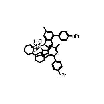 CCCc1ccc(-c2cc(C)cc3c2C=C(CC2CCCCC2)[CH]3[Zr]([Cl])([Cl])([CH]2C(CC3CCCCC3)=Cc3c(-c4ccc(CCC)cc4)cc(C)cc32)[SiH](C)C)cc1